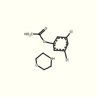 C1COCCN1.O=C(O)C(=O)Oc1cc(Cl)cc(Cl)c1